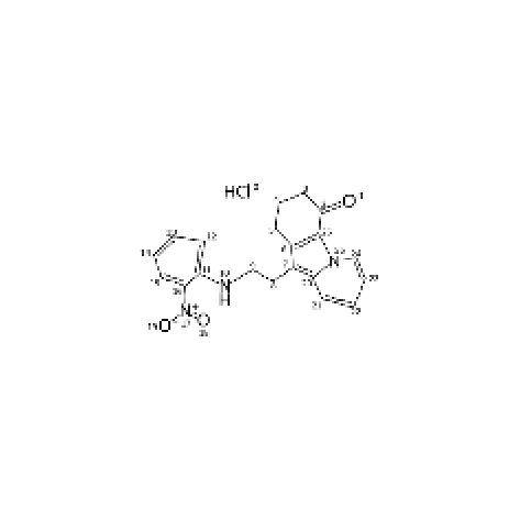 Cl.O=C1CCCc2c(CCNc3ccccc3[N+](=O)[O-])c3ccccn3c21